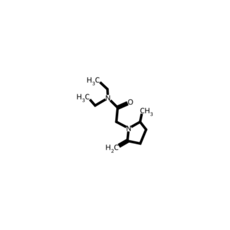 C=C1CCC(C)N1CC(=O)N(CC)CC